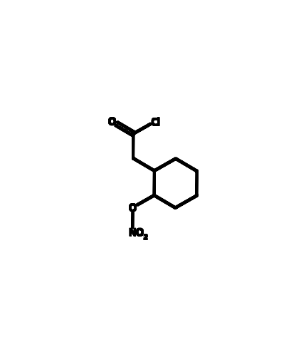 O=C(Cl)CC1CCCCC1O[N+](=O)[O-]